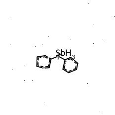 [SbH3].c1ccc([I+]c2ccccc2)cc1